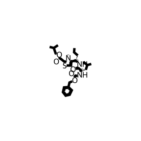 CCC[C@H](NC(=O)[C@H](CC(C)C)NC(=O)OCc1ccccc1)C1=CSC(C(=O)OCC(C)C)N1C